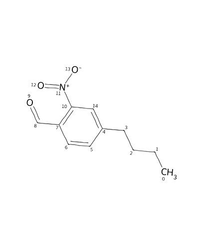 CCCCc1ccc(C=O)c([N+](=O)[O-])c1